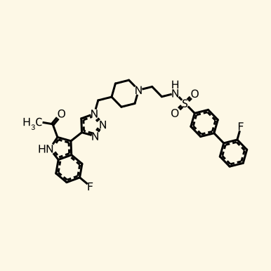 CC(=O)c1[nH]c2ccc(F)cc2c1-c1cn(CC2CCN(CCNS(=O)(=O)c3ccc(-c4ccccc4F)cc3)CC2)nn1